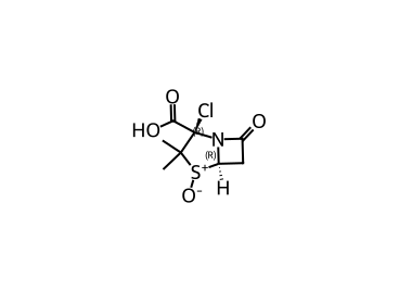 CC1(C)[S+]([O-])[C@@H]2CC(=O)N2[C@@]1(Cl)C(=O)O